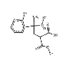 COC(=O)C(CC(C)(c1ccccc1Cl)[N+](=O)[O-])C(=O)O